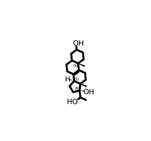 CC(O)[C@@]1(O)CC[C@H]2C3=C(CC[C@@]21C)[C@@]1(C)CCC(O)CC1CC3